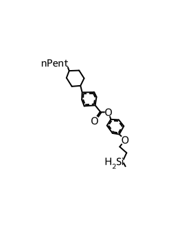 CCCCCC1CCC(c2ccc(C(=O)Oc3ccc(OCC[SiH2]C)cc3)cc2)CC1